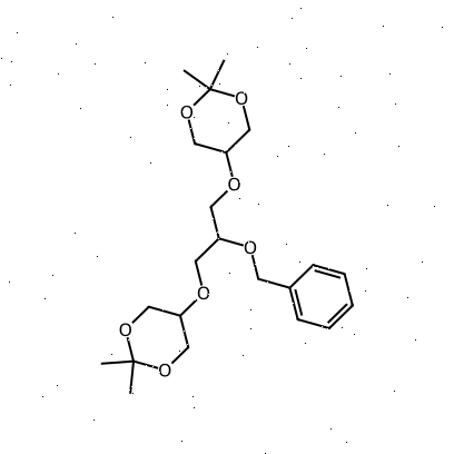 CC1(C)OCC(OCC(COC2COC(C)(C)OC2)OCc2ccccc2)CO1